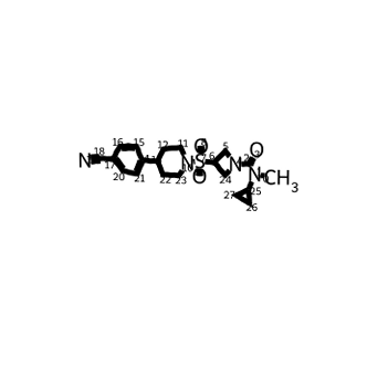 CN(C(=O)N1CC(S(=O)(=O)N2CCC(c3ccc(C#N)cc3)CC2)C1)C1CC1